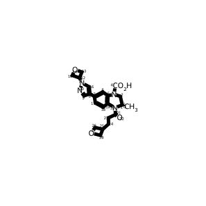 C[C@H]1CN(C(=O)O)c2cc(-c3cnn(C4COC4)c3)ccc2N1C(=O)CCC1COC1